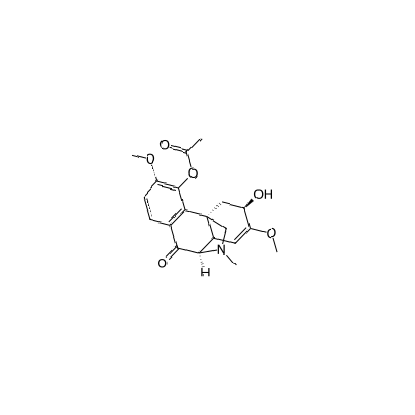 COC1=CC2[C@@H]3C(=O)c4ccc(OC)c(OC(C)=O)c4[C@@]2(C[C@H]1O)CN3C